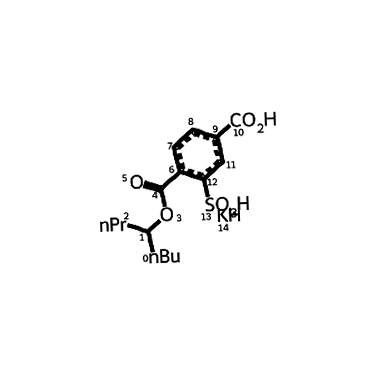 CCCCC(CCC)OC(=O)c1ccc(C(=O)O)cc1S(=O)(=O)O.[KH]